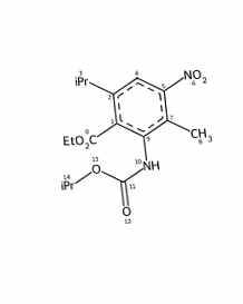 CCOC(=O)c1c(C(C)C)cc([N+](=O)[O-])c(C)c1NC(=O)OC(C)C